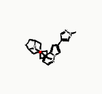 CC1CC(N2C3CCC2CN(c2ccnn4cc(-c5cnn(C)c5)cc24)C3)C1